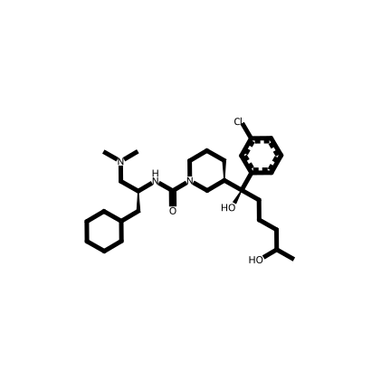 CC(O)CCC[C@@](O)(c1cccc(Cl)c1)[C@@H]1CCCN(C(=O)N[C@@H](CC2CCCCC2)CN(C)C)C1